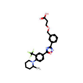 CC1CCCCN1c1ccc(-c2nc(-c3cccc(COCCC(=O)O)c3)no2)cc1C(F)(F)F